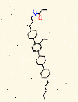 C=CC(=O)N(C)CCCC1CCC(c2ccc(C3CCC(C4CCC(CCCCC)CC4)CC3)cc2CC)CC1